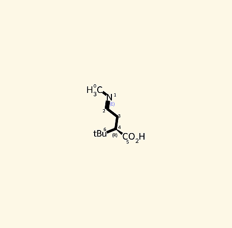 C/N=C/C[C@@H](C(=O)O)C(C)(C)C